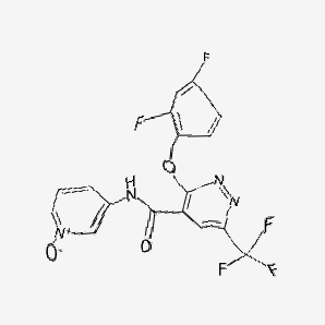 O=C(Nc1ccc[n+]([O-])c1)c1cc(C(F)(F)F)nnc1Oc1ccc(F)cc1F